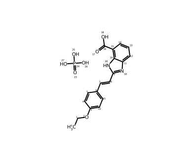 CCOc1ccc(C=Cc2nc3cccc(C(=O)O)c3[nH]2)cc1.O=P(O)(O)O